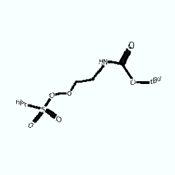 CCCS(=O)(=O)OOCCNC(=O)OC(C)(C)C